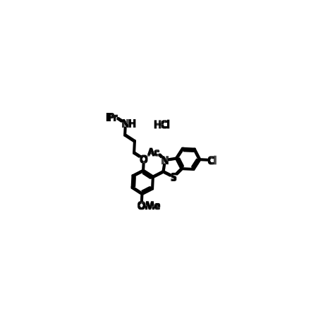 COc1ccc(OCCCNC(C)C)c(C2Sc3cc(Cl)ccc3N2C(C)=O)c1.Cl